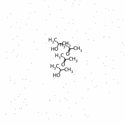 CC(C)=O.CC(C)=O.CC(C)O.CC(C)O